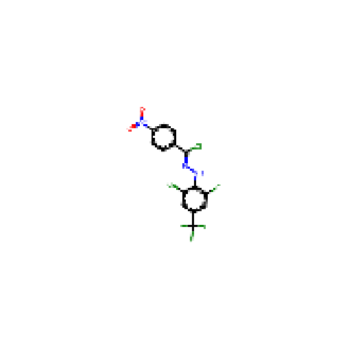 O=[N+]([O-])c1ccc(C(Cl)=NNc2c(Cl)cc(C(F)(F)F)cc2Cl)cc1